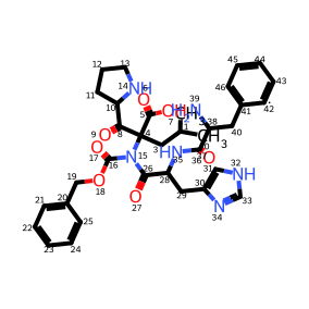 CC(C)CC(C(=O)O)(C(=O)C1CCCN1)N(C(=O)OCc1ccccc1)C(=O)C(Cc1c[nH]cn1)NC(=O)C(N)Cc1[c]cccc1